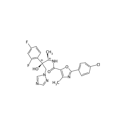 Cc1nc(-c2ccc(Cl)cc2)oc1C(=O)N[C@H](C)[C@](O)(Cn1cncn1)c1ccc(F)cc1F